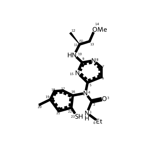 CCNC(=O)N(c1ccnc(N[C@@H](C)COC)n1)c1ccc(C)cc1S